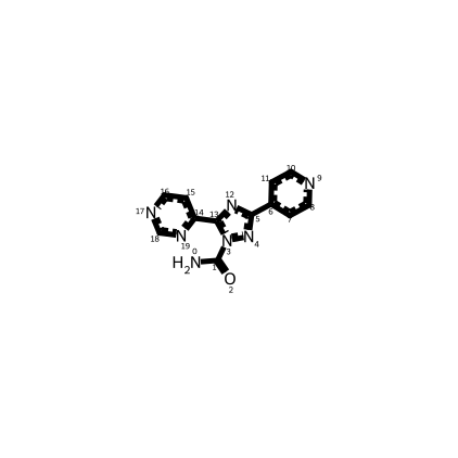 NC(=O)n1nc(-c2ccncc2)nc1-c1ccncn1